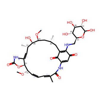 CO[C@H]1/C=C\C=C(/C)C(=O)NC2=CC(=O)C(NC[C@@H]3OC(O)[C@@H](O)[C@H](O)[C@H]3O)=C(C[C@@H](C)C[C@H](OC)[C@H](O)[C@@H](C)/C=C(\C)[C@@H]1OC(N)=O)C2=O